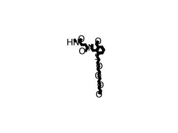 CNC(=O)CCC(C=O)N(C)Cc1c(C=O)cccc1SCCOCCOCCOCC=O